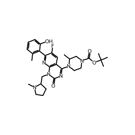 Cc1cccc(O)c1-c1nc2c(cc1F)c(N1CCN(C(=O)OC(C)(C)C)CC1C)nc(=O)n2CC1CCCN1C